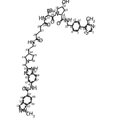 Cc1ncsc1-c1ccc(CNC(=O)[C@@H]2C[C@@H](O)CN2C(=O)[C@@H](NC(=O)CCCC(=O)NCCC2CCN(Cc3nc4cc(NC(=O)c5ccc6c(cnn6C)c5)ccc4[nH]3)C2)C(C)(C)C)cc1